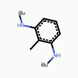 CCC(C)Nc1cccc(NC(C)CC)c1C